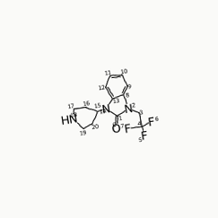 O=c1n(CC(F)(F)F)c2ccccc2n1C1CCNCC1